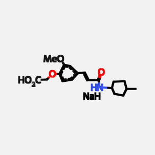 COc1cc(C=CC(=O)NC2CCC(C)CC2)ccc1OCC(=O)O.[NaH]